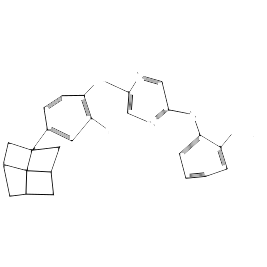 O=C(O)c1ccccc1Nc1cnc(Oc2ccc(C34CC5CC6CC(C3)C654)cc2Cl)cn1